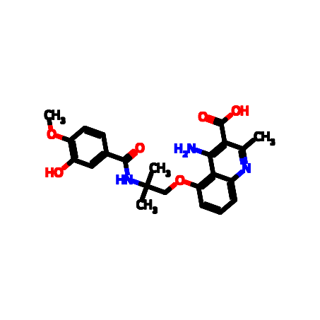 COc1ccc(C(=O)NC(C)(C)COc2cccc3nc(C)c(C(=O)O)c(N)c23)cc1O